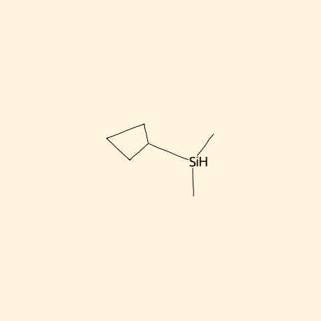 C[SiH](C)C1CCC1